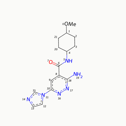 COC1CCC(NC(=O)c2cc(-n3ccnc3)nnc2N)CC1